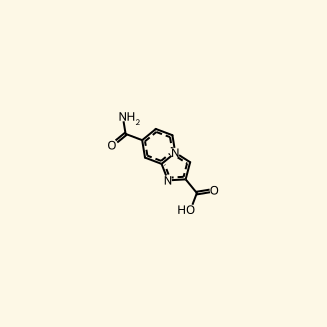 NC(=O)c1ccn2cc(C(=O)O)nc2c1